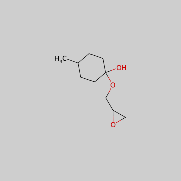 CC1CCC(O)(OCC2CO2)CC1